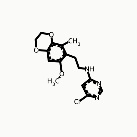 COc1cc2c(c(C)c1CCNc1cc(Cl)ncn1)OCCO2